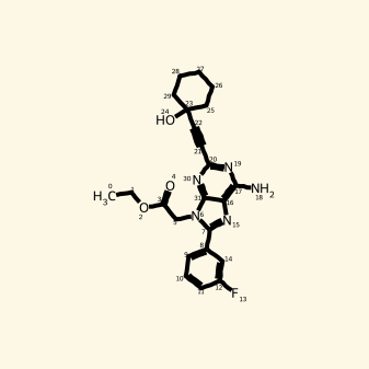 CCOC(=O)Cn1c(-c2cccc(F)c2)nc2c(N)nc(C#CC3(O)CCCCC3)nc21